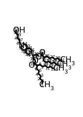 CCCCCCCC(CCCCCCC)C(=O)OCC(COC(=O)C(CCCCCCC)CCCCCCC)N1CCC2(CCN(CCCCCO)CC2)CC1